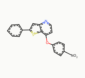 O=[N+]([O-])c1ccc(Oc2ccnc3cc(-c4ccccc4)sc23)cc1